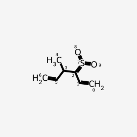 C=CC(C(C)C=C)=S(=O)=O